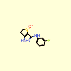 [O-][S+]1CCc2[nH]nc(Nc3cccc(F)c3)c21